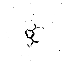 CNC(C)c1cc(C(N)=O)ccn1